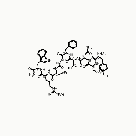 CNC(=N)NCCC[C@H](NC(=O)[C@H](CC(C)C)NC(=O)NNC(=O)[C@H](Cc1ccccc1)NC(=O)[C@@H](NC(=O)[C@H](CC(N)=O)NC(=O)[C@@H](CC(=O)O)NC(=O)[C@@H](Cc1ccc(O)cc1)NC(C)=O)[C@@H](C)O)C(=O)N[C@@H](Cc1c[nH]c2ccccc12)C(N)=O